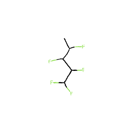 CC(F)C(F)C(F)[C](F)F